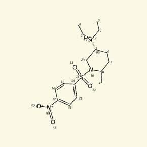 CC[SiH](CC)[C@@H]1CCC(C)N(S(=O)(=O)c2ccc([N+](=O)[O-])cc2)C1